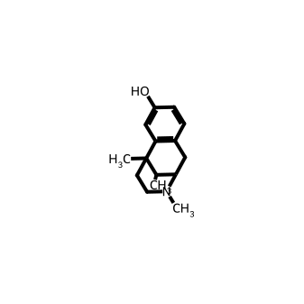 CC1C2Cc3ccc(O)cc3C1(C)CCN2C